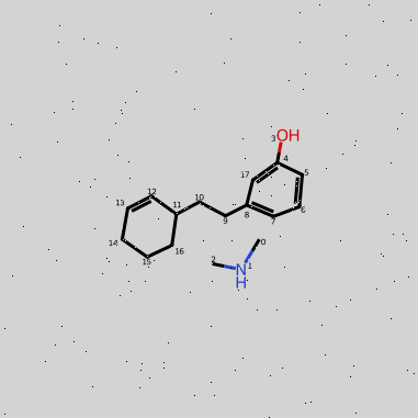 CNC.Oc1cccc(CCC2C=CCCC2)c1